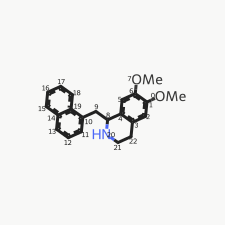 COc1cc2c(cc1OC)C(Cc1cccc3ccccc13)NCC2